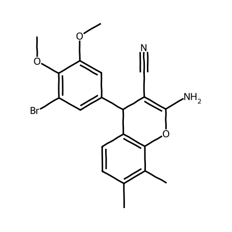 COc1cc(C2C(C#N)=C(N)Oc3c2ccc(C)c3C)cc(Br)c1OC